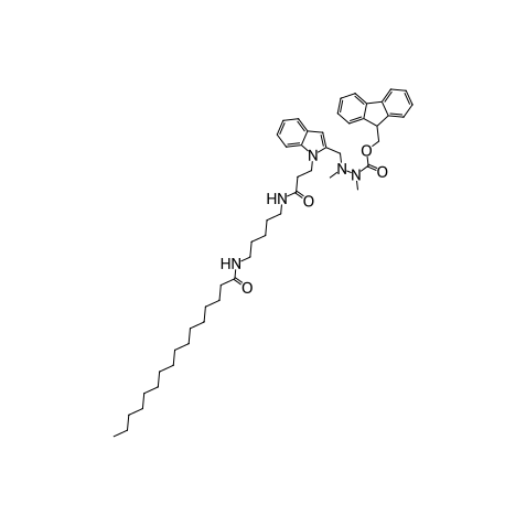 CCCCCCCCCCCCCCCC(=O)NCCCCCNC(=O)CCn1c(CN(C)N(C)C(=O)OCC2c3ccccc3-c3ccccc32)cc2ccccc21